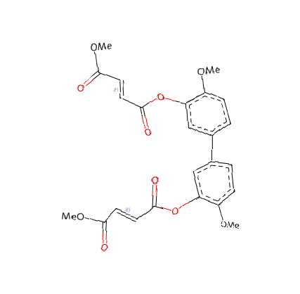 COC(=O)/C=C/C(=O)Oc1cc(-c2ccc(OC)c(OC(=O)/C=C/C(=O)OC)c2)ccc1OC